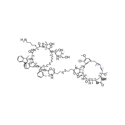 COc1cc2cc(c1Cl)N(C)CC1(C(=O)[C@H](C)N(C)C(=O)CCSSCCC(=O)N[C@H](Cc3ccccc3)C(=O)N[C@H]3CSSC[C@@H](C(=O)N[C@H](CO)[C@@H](C)O)NC(=O)[C@H]([C@@H](C)O)NC(=O)[C@H](CCCCN)NC(=O)[C@@H](Cc4c[nH]c5ccccc45)NC(=O)[C@H](Cc4ccccc4)NC3=O)C(=O)[C@H]1[C@]1(C)O[C@H]1[C@H](C)[C@@H]1C[C@@](O)(NC(=O)O1)[C@H](OC)/C=C/C=C(\C)C2